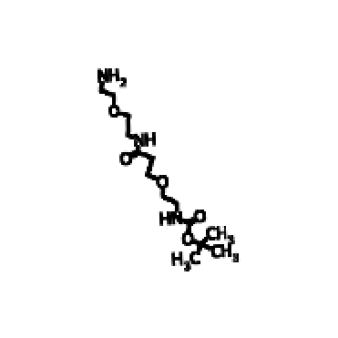 CC(C)(C)OC(=O)NCCOCCC(=O)NCCOCCN